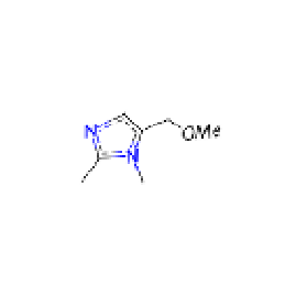 COCc1cnc(C)n1C